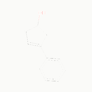 OC1CC=C(c2ccccc2)C1